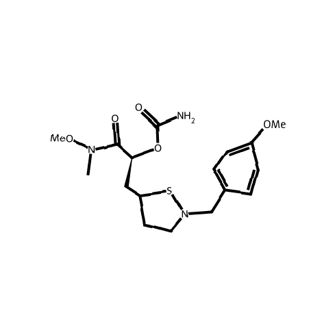 COc1ccc(CN2CCC(C[C@H](OC(N)=O)C(=O)N(C)OC)S2)cc1